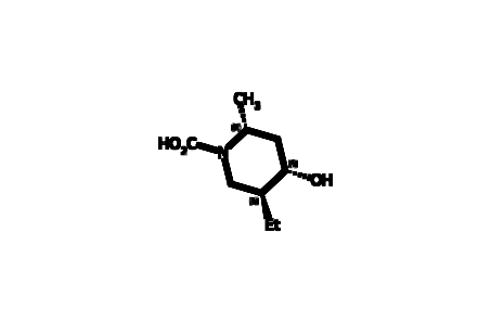 CC[C@H]1CN(C(=O)O)[C@H](C)C[C@@H]1O